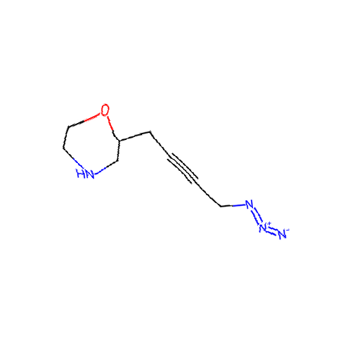 [N-]=[N+]=NCC#CCC1CNCCO1